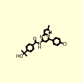 Cc1cc2nc(NC(=O)c3ccc(C(C)(C)O)cc3)cc(-c3ccc(Cl)cc3)n2n1